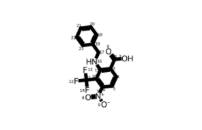 O=C(O)c1ccc([N+](=O)[O-])c(C(F)(F)F)c1NCc1ccccc1